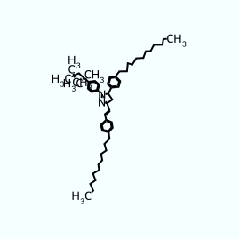 CCCCCCCCCCCCc1ccc(C=CC2=NN(c3ccc(C(C)(C)CC(C)(C)C)cc3)C(c3ccc(CCCCCCCCCCCC)cc3)C2)cc1